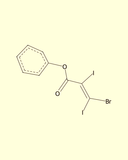 O=C(Oc1ccccc1)C(I)=C(Br)I